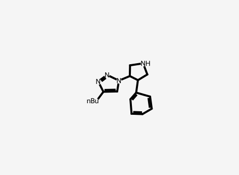 CCCCc1cn(C2CNCC2c2ccccc2)nn1